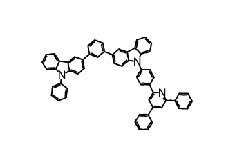 c1ccc(-c2cc(-c3ccccc3)nc(-c3ccc(-n4c5ccccc5c5cc(-c6cccc(-c7ccc8c(c7)c7ccccc7n8-c7ccccc7)c6)ccc54)cc3)c2)cc1